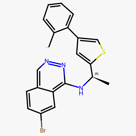 [CH2]c1ccccc1-c1csc([C@@H](C)Nc2nncc3ccc(Br)cc23)c1